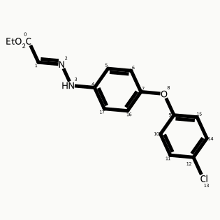 CCOC(=O)C=NNc1ccc(Oc2ccc(Cl)cc2)cc1